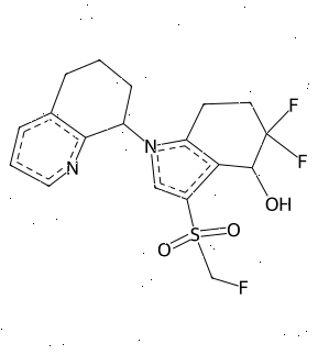 O=S(=O)(CF)c1cn(C2CCCc3cccnc32)c2c1C(O)C(F)(F)CC2